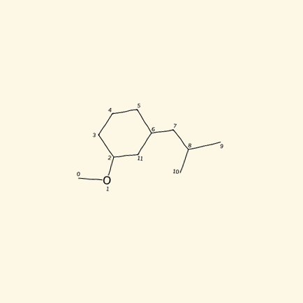 COC1CCCC(CC(C)C)C1